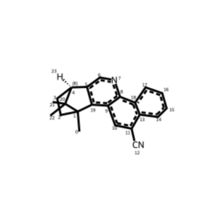 CC12CC[C@@H](c3cnc4c(cc(C#N)c5ccccc54)c31)C2(C)C